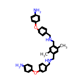 Cc1cc(CNCc2ccc(Oc3ccc(N)cc3)cc2)c(C)cc1CNCc1ccc(Oc2ccc(N)cc2)cc1